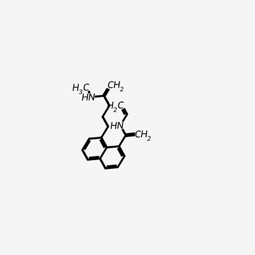 C=CNC(=C)c1cccc2cccc(CCCC(=C)NC)c12